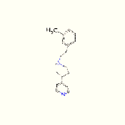 Cc1cccc(CCN2CCC(c3ccncc3)CC2)c1